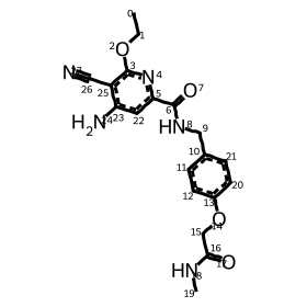 CCOc1nc(C(=O)NCc2ccc(OCC(=O)NC)cc2)cc(N)c1C#N